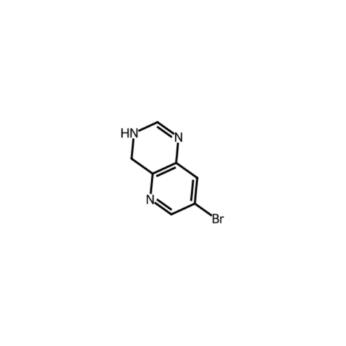 Brc1cnc2c(c1)N=CNC2